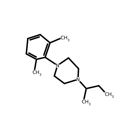 CCC(C)N1CCN(c2c(C)cccc2C)CC1